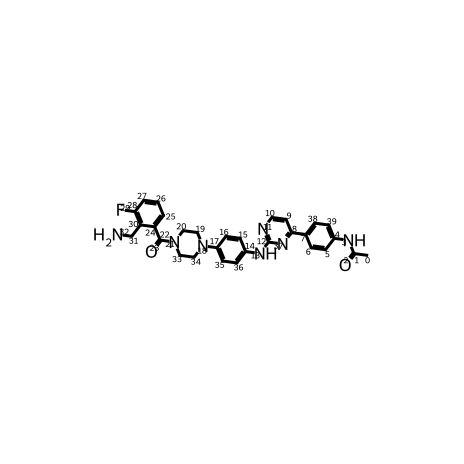 CC(=O)Nc1ccc(-c2ccnc(Nc3ccc(N4CCN(C(=O)c5cccc(F)c5CN)CC4)cc3)n2)cc1